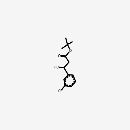 CC(C)(C)OC(=O)CC(O)c1cccc(Cl)c1